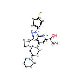 COC(O)c1cc(N2CCC(N3CCCCC3)CC2)c2c(C3CCC3)nn(-c3ccc(F)cc3)c2n1